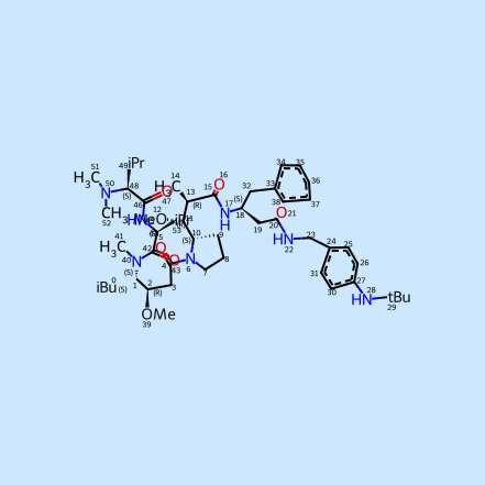 CC[C@H](C)[C@@H]([C@@H](CC(=O)N1CCC[C@H]1[C@H](OC)[C@@H](C)C(=O)N[C@H](CC(=O)NCc1ccc(NC(C)(C)C)cc1)Cc1ccccc1)OC)N(C)C(=O)[C@@H](NC(=O)[C@H](C(C)C)N(C)C)C(C)C